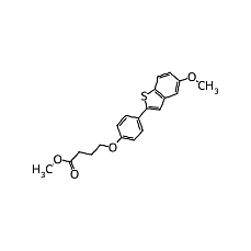 COC(=O)CCCOc1ccc(-c2cc3cc(OC)ccc3s2)cc1